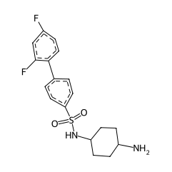 NC1CCC(NS(=O)(=O)c2ccc(-c3ccc(F)cc3F)cc2)CC1